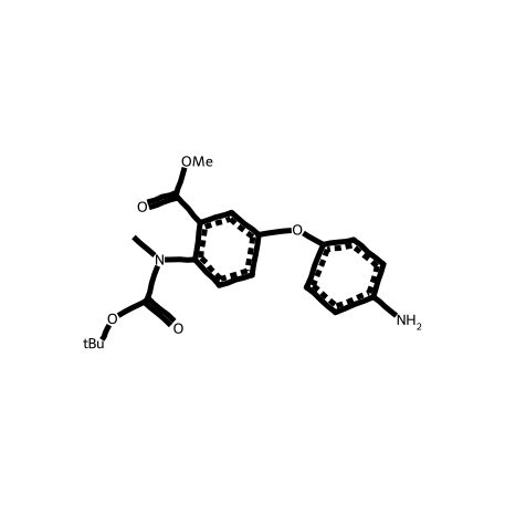 COC(=O)c1cc(Oc2ccc(N)cc2)ccc1N(C)C(=O)OC(C)(C)C